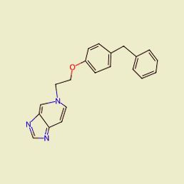 c1ccc(Cc2ccc(OCCn3ccc4ncnc-4c3)cc2)cc1